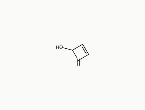 O[C]1C=CN1